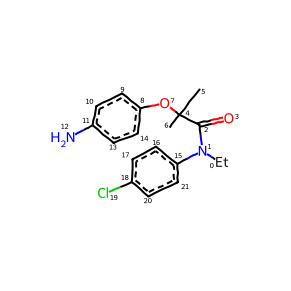 CCN(C(=O)C(C)(C)Oc1ccc(N)cc1)c1ccc(Cl)cc1